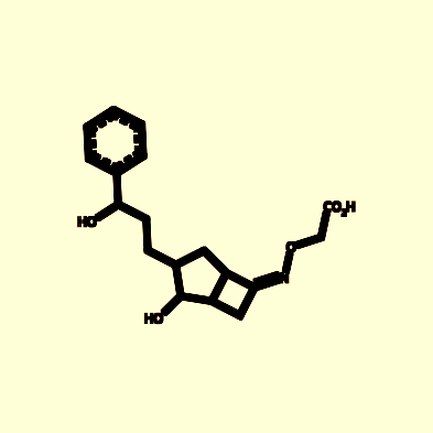 O=C(O)CO/N=C1/CC2C1CC(CCC(O)c1ccccc1)C2O